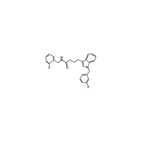 O=C(CCCc1cn(Cc2cccc(F)c2)c2ccccc12)NCc1ccccc1F